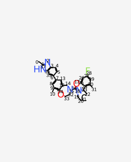 Cc1nc2ccc(-c3cc(C)c4c(c3)CN(C(=O)N3CCCCC3c3ccc(F)cc3C)CCO4)cc2[nH]1